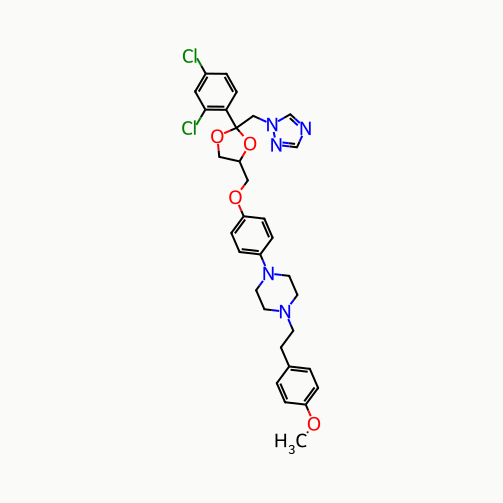 COc1ccc(CCN2CCN(c3ccc(OCC4COC(Cn5cncn5)(c5ccc(Cl)cc5Cl)O4)cc3)CC2)cc1